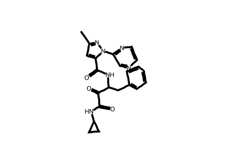 Cc1cc(C(=O)NC(Cc2ccccc2)C(=O)C(=O)NC2CC2)n(-c2cnccn2)n1